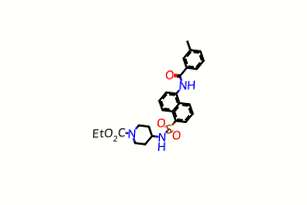 CCOC(=O)N1CCC(NS(=O)(=O)c2cccc3c(NC(=O)c4cccc(C)c4)cccc23)CC1